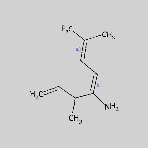 C=CC(C)/C(N)=C\C=C(/C)C(F)(F)F